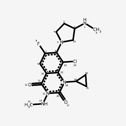 CNC1CCN(c2c(F)cc3c(=O)n(NC)c(=O)n(C4CC4)c3c2Cl)C1